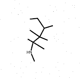 CCC(C)C(C)(C)C(C)(C)NC